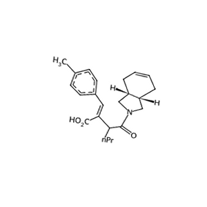 CCCC(C(=O)N1C[C@H]2CC=CC[C@H]2C1)C(=Cc1ccc(C)cc1)C(=O)O